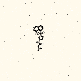 CN(C)CC(=O)N(C)[C@H]1CCN(S(=O)(=O)c2cccc3cncc(F)c23)C1